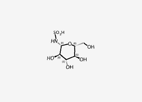 O=S(=O)(O)N[C@@H]1O[C@H](CO)[C@@H](O)[C@H](O)[C@H]1O